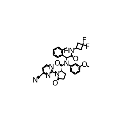 COc1cccc(N(C(=O)[C@@H]2CCC(=O)N2c2nccc(C#N)n2)[C@H](C(=O)NC2CC(F)(F)C2)c2ccccc2C)c1